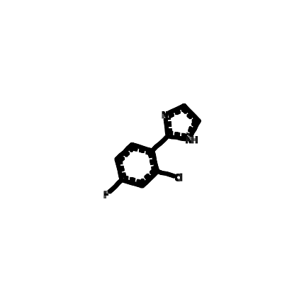 Fc1ccc(-c2ncc[nH]2)c(Cl)c1